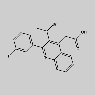 CC(Br)c1c(-c2cccc(F)c2)nc2ccccc2c1CC(=O)O